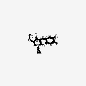 CCOC1CN(C2CC2)c2nc3cc(F)c(F)cc3cc2C1=O